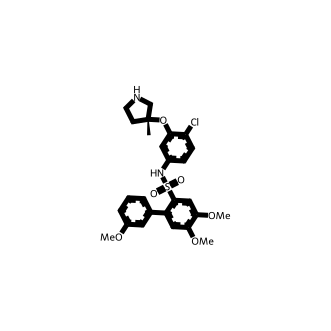 COc1cccc(-c2cc(OC)c(OC)cc2S(=O)(=O)Nc2ccc(Cl)c(O[C@]3(C)CCNC3)c2)c1